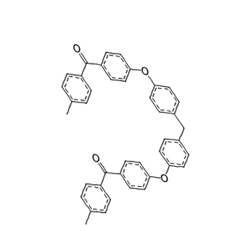 Cc1ccc(C(=O)c2ccc(Oc3ccc(Cc4ccc(Oc5ccc(C(=O)c6ccc(C)cc6)cc5)cc4)cc3)cc2)cc1